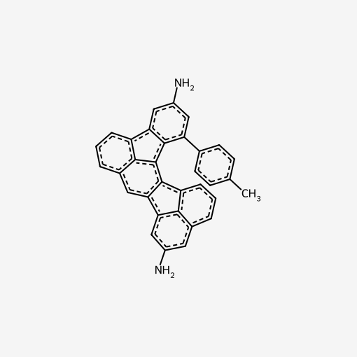 Cc1ccc(-c2cc(N)cc3c4cccc5cc6c7cc(N)cc8cccc(c87)c6c(c23)c54)cc1